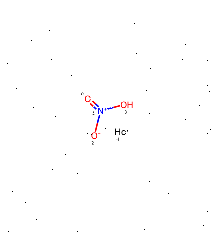 O=[N+]([O-])O.[Ho]